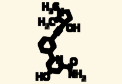 C=C1N(C)CC[C@@]1(O)C#Cc1cccc(-c2cc(O)cc(C(N)=O)n2)c1